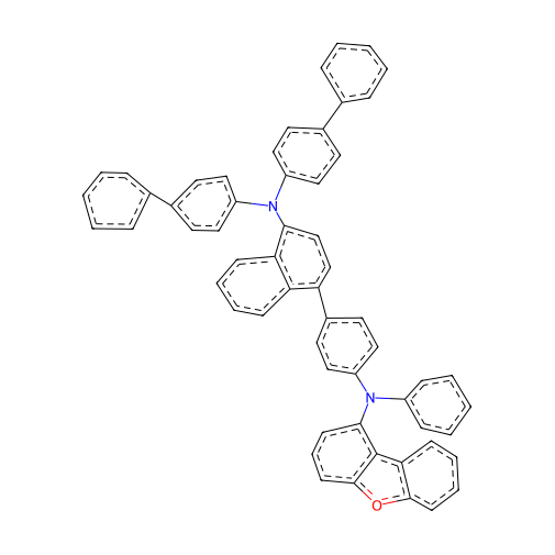 c1ccc(-c2ccc(N(c3ccc(-c4ccccc4)cc3)c3ccc(-c4ccc(N(c5ccccc5)c5cccc6oc7ccccc7c56)cc4)c4ccccc34)cc2)cc1